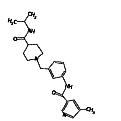 Cc1cncc(C(=O)Nc2cccc(CN3CCC(C(=O)NC(C)C)CC3)c2)c1